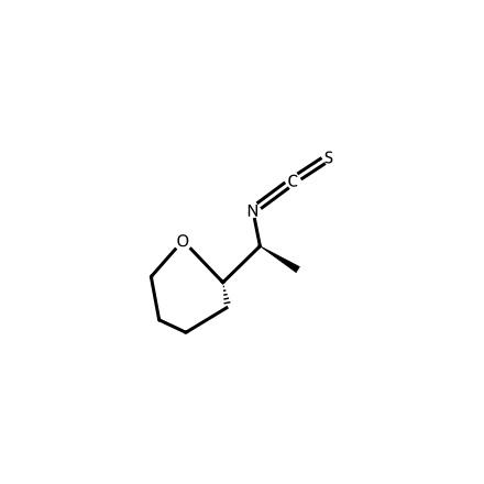 C[C@H](N=C=S)[C@@H]1CCCCO1